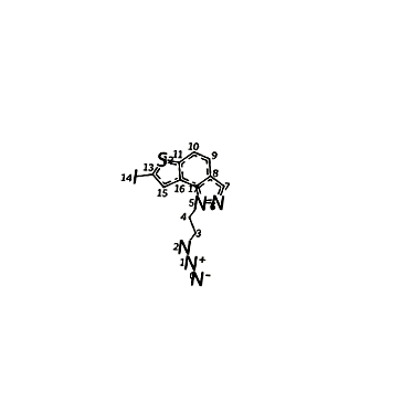 [N-]=[N+]=NCCn1ncc2ccc3sc(I)cc3c21